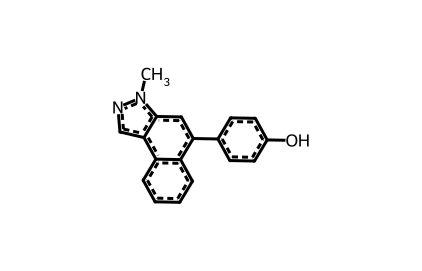 Cn1ncc2c3ccccc3c(-c3ccc(O)cc3)cc21